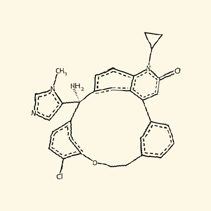 Cn1cncc1[C@]1(N)c2ccc(Cl)c(c2)OCCc2cccc(c2)-c2cc(=O)n(C3CC3)c3ccc1cc23